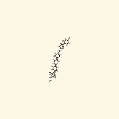 CCC(C)n1ncn(-c2ccc(N3CCN(c4ccc(OC[C@@H]5CO[C@@H](c6ccc(C)cc6)O5)cc4)CC3)cc2)c1=O